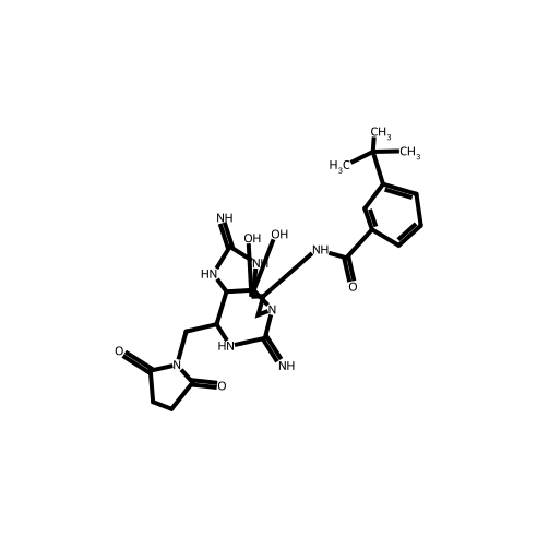 CC(C)(C)c1cccc(C(=O)NC2CN3C(=N)NC(CN4C(=O)CCC4=O)C4NC(=N)NC43C2(O)O)c1